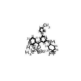 Cc1ccn(-c2cc(C(O[Si](C)(C)C(C)(C)C)c3cccnc3)cc(NC3CCC(F)(F)CC3)n2)n1